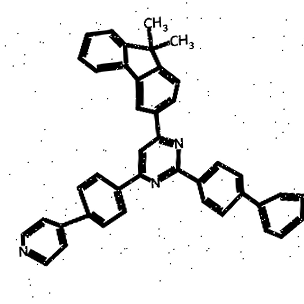 CC1(C)c2ccccc2-c2cc(-c3cc(-c4ccc(-c5ccncc5)cc4)nc(-c4ccc(-c5ccccc5)cc4)n3)ccc21